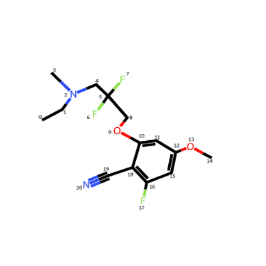 CCN(C)CC(F)(F)COc1cc(OC)cc(F)c1C#N